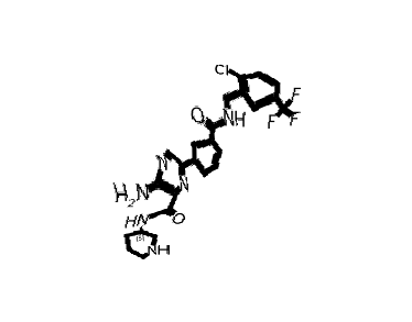 Nc1ncc(-c2cccc(C(=O)NCc3cc(C(F)(F)F)ccc3Cl)c2)nc1C(=O)N[C@H]1CCCNC1